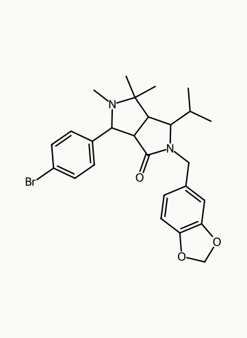 CC(C)C1C2C(C(=O)N1Cc1ccc3c(c1)OCO3)C(c1ccc(Br)cc1)N(C)C2(C)C